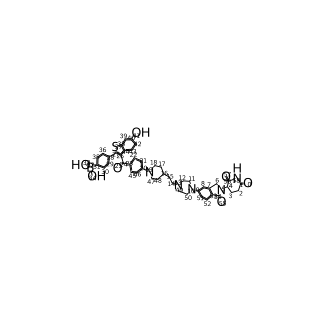 O=C1CCC(N2Cc3cc(N4CCN(CCC5CCN(c6ccc(C(=O)c7c(-c8ccc(B(O)O)cc8)sc8cc(O)ccc78)cc6)CC5)CC4)ccc3C2=O)C(=O)N1